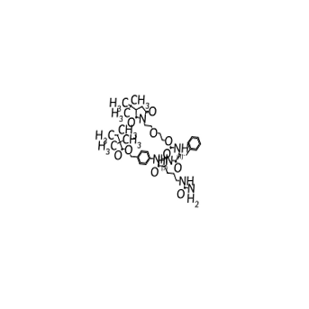 CC(C)C(C)(C)C(=O)OCc1ccc(NC(=O)[C@H](CCCNC(N)=O)NC(=O)[C@@H](Cc2ccccc2)NC(=O)OCCOCCN2C(=O)CC(C(C)(C)C)C2=O)cc1